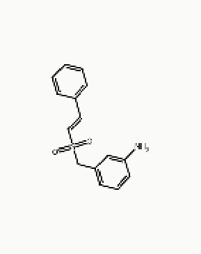 Nc1cccc(CS(=O)(=O)C=Cc2ccccc2)c1